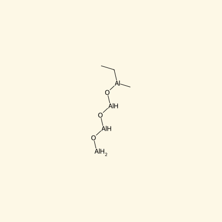 C[CH2][Al]([CH3])[O][AlH][O][AlH][O][AlH2]